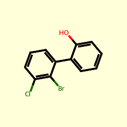 Oc1ccccc1-c1cccc(Cl)c1Br